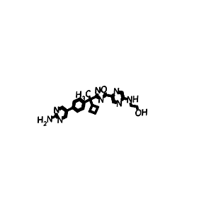 CC(c1ccc(-c2cnc(N)nc2)cc1)(c1noc(-c2cnc(NCCO)cn2)n1)C1CCC1